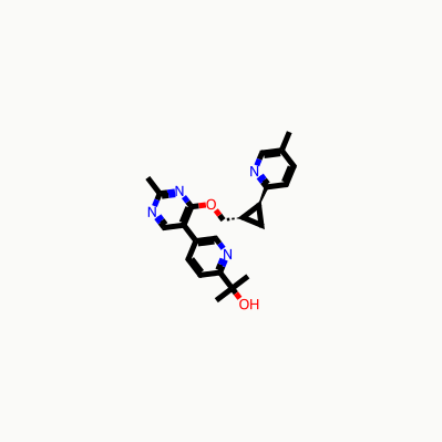 Cc1ccc([C@H]2C[C@@H]2COc2nc(C)ncc2-c2ccc(C(C)(C)O)nc2)nc1